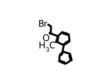 Cc1c(C(=O)CBr)cccc1-c1ccccc1